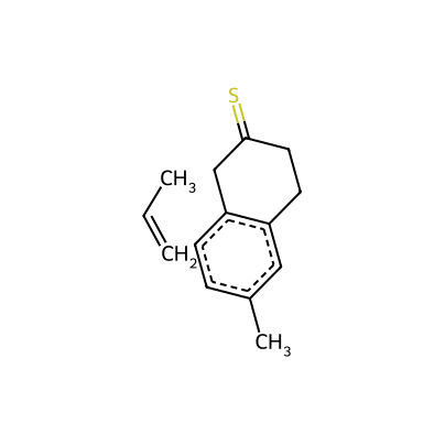 C=CC.Cc1ccc2c(c1)CCC(=S)C2